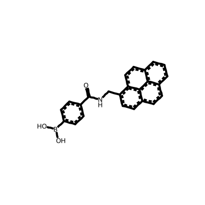 O=C(NCc1ccc2ccc3cccc4ccc1c2c34)c1ccc(B(O)O)cc1